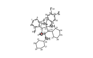 COC(c1c(F)cccc1F)C1(C(C(=O)NC2CCCCC2)C2CCCCC2)Nc2cc(F)c(F)cc2N1